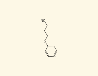 N#CCCCSc1cc[c]cc1